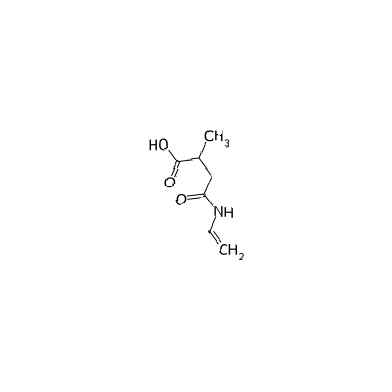 C=CNC(=O)CC(C)C(=O)O